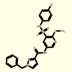 COc1ncc(NC(=O)c2ccn(Cc3ccccc3)n2)cc1S(=O)(=O)Nc1ccc(Cl)cc1